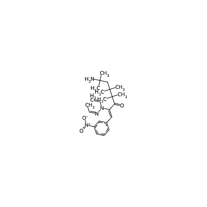 C=CN(/N=C\C)/C(=C\c1cccc([N+](=O)[O-])c1)C(=O)C(C)(C)C(C)(C)CC(C)(C)N